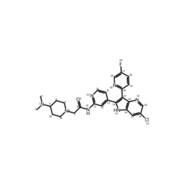 CN(C)C1CCN(CC(=O)Nc2cc(-c3[nH]c4cc(Cl)cnc4c3-c3ccc(F)cn3)ccn2)CC1